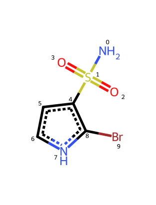 NS(=O)(=O)c1cc[nH]c1Br